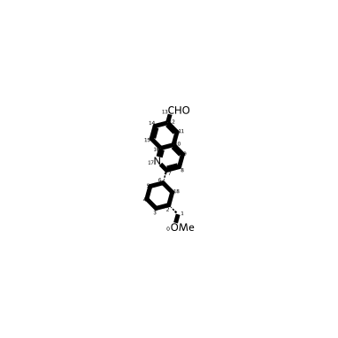 COC[C@@H]1CCC[C@H](c2ccc3cc(C=O)ccc3n2)C1